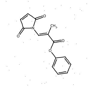 CC(=CN1C(=O)C=CC1=O)C(=O)Oc1ccccc1